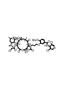 CC[C@H]1OC(=O)[C@H](C)[C@@H](OC(=O)CCl)[C@H](C)[C@@H](O[C@@H]2O[C@H](C)C[C@H](N(C)C)[C@H]2OC(C)=O)[C@](C)(OC)C[C@@H](C)C(=O)[C@H](C)[C@H]2N(CCCOc3cc(C(=O)Nc4c(Cl)cncc4Cl)ccc3OC)C(=O)O[C@]12C